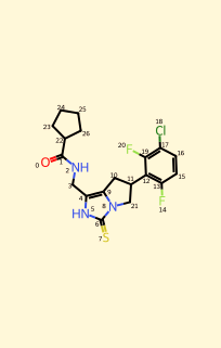 O=C(NCc1[nH]c(=S)n2c1CC(c1c(F)ccc(Cl)c1F)C2)C1CCCC1